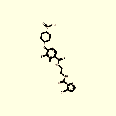 O=C(NCCNC(=O)c1sccc1Cl)c1ccc(O[C@H]2CC[C@@H](C(=O)O)CC2)c(F)c1F